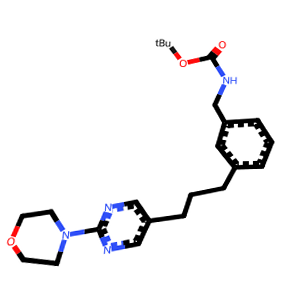 CC(C)(C)OC(=O)NCc1cccc(CCCc2cnc(N3CCOCC3)nc2)c1